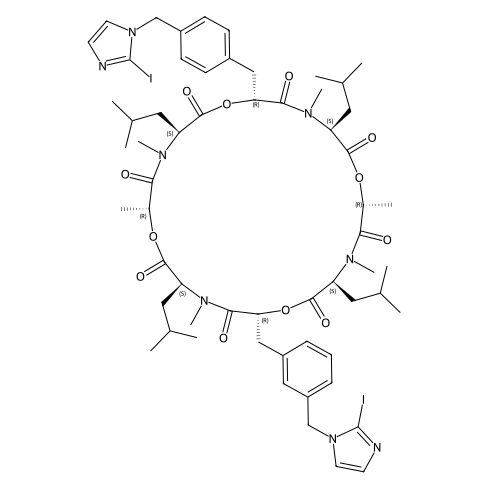 CC(C)C[C@H]1C(=O)O[C@H](Cc2cccc(Cn3ccnc3I)c2)C(=O)N(C)[C@@H](CC(C)C)C(=O)O[C@H](C)C(=O)N(C)[C@@H](CC(C)C)C(=O)O[C@H](Cc2ccc(Cn3ccnc3I)cc2)C(=O)N(C)[C@@H](CC(C)C)C(=O)O[C@H](C)C(=O)N1C